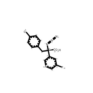 [N-]=[N+]=N[C@](Cc1ccc(Cl)cc1)(C(=O)O)c1cncc(F)c1